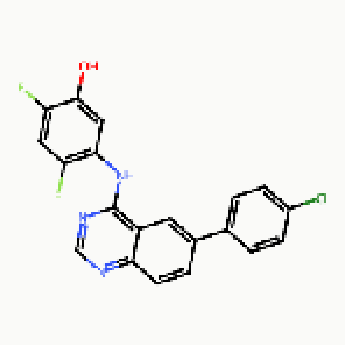 Oc1cc(Nc2ncnc3ccc(-c4ccc(Cl)cc4)cc23)c(F)cc1F